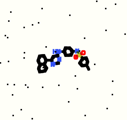 Cc1ccc(S(=O)(=O)[N]c2ccc(Nc3cc(-c4cccc5ccccc45)ncn3)cc2)cc1